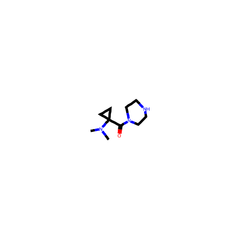 CN(C)C1(C(=O)N2CCNCC2)CC1